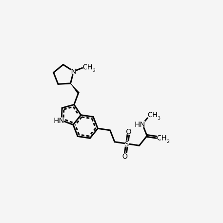 C=C(CS(=O)(=O)CCc1ccc2[nH]cc(C[C@H]3CCCN3C)c2c1)NC